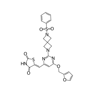 O=C1NC(=O)C(=Cc2cc(OCc3ccco3)nc(N3CC4(C3)CN(S(=O)(=O)c3ccccc3)C4)n2)S1